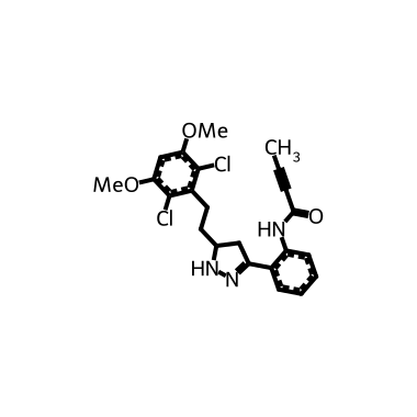 CC#CC(=O)Nc1ccccc1C1=NNC(CCc2c(Cl)c(OC)cc(OC)c2Cl)C1